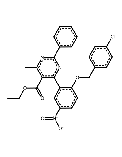 CCOC(=O)c1c(C)nc(-c2ccccc2)nc1-c1cc([N+](=O)[O-])ccc1OCc1ccc(Cl)cc1